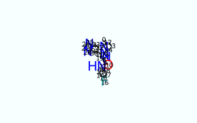 Cc1cccc(-n2nc(C(=O)Nc3ccc(F)cc3)cc2-c2ccc3nccnc3c2)n1